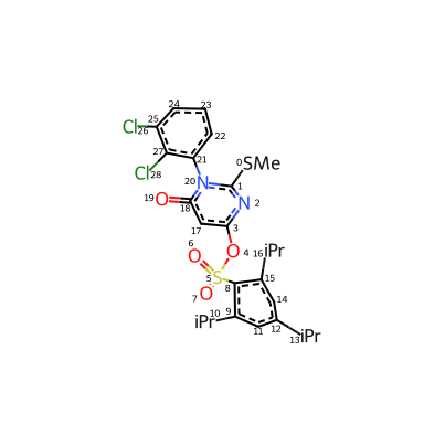 CSc1nc(OS(=O)(=O)c2c(C(C)C)cc(C(C)C)cc2C(C)C)cc(=O)n1-c1cccc(Cl)c1Cl